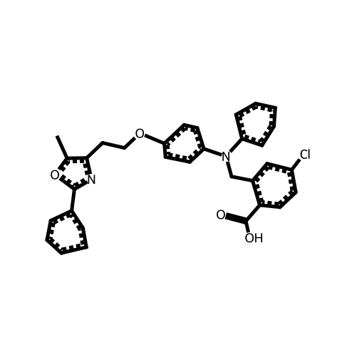 Cc1oc(-c2ccccc2)nc1CCOc1ccc(N(Cc2cc(Cl)ccc2C(=O)O)c2ccccc2)cc1